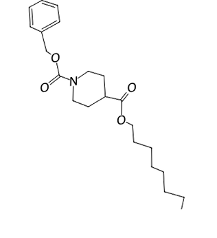 CCCCCCCCOC(=O)C1CCN(C(=O)OCc2ccccc2)CC1